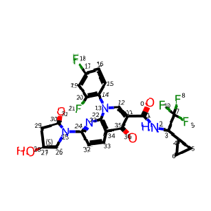 O=C(NC(C1CC1)C(F)(F)F)c1cn(-c2ccc(F)cc2F)c2nc(N3C[C@@H](O)CC3=O)ccc2c1=O